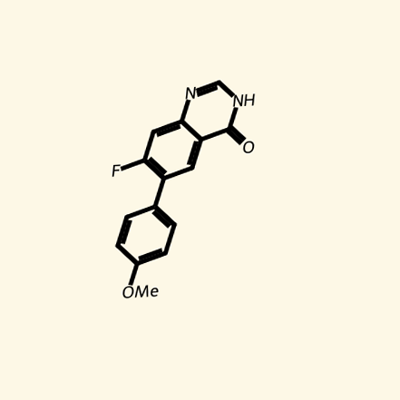 COc1ccc(-c2cc3c(=O)[nH]cnc3cc2F)cc1